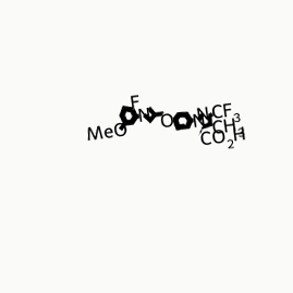 COc1ccc(F)c(N2CC(COc3ccc(N4N=C(C(F)(F)F)[C@@H](C)[C@@H]4CC(=O)O)cc3)C2)c1